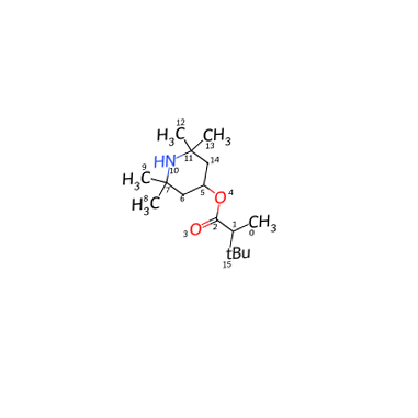 CC(C(=O)OC1CC(C)(C)NC(C)(C)C1)C(C)(C)C